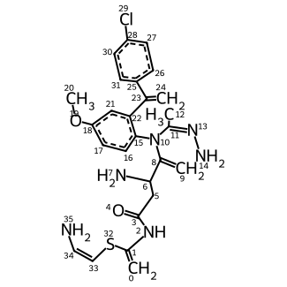 C=C(NC(=O)CC(N)C(=C)N(/C(C)=N\N)c1ccc(OC)cc1C(=C)c1ccc(Cl)cc1)S/C=C\N